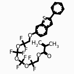 C=C(C)C(=O)OCC(F)(F)OC(F)(F)OC(F)(F)OC(F)(F)COc1ccc2cc(-c3ccccc3)sc2c1